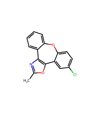 Cc1nc2c(o1)-c1cc(Cl)ccc1Oc1ccccc1-2